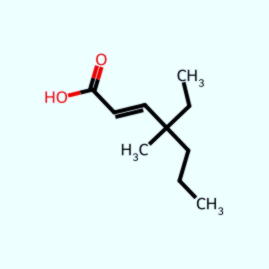 CCCC(C)(C=CC(=O)O)CC